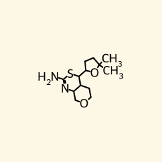 CC1(C)CCC(C2SC(N)=NC3COCCC32)O1